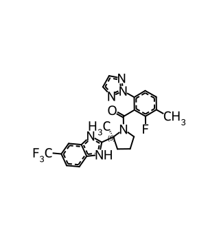 Cc1ccc(-n2nccn2)c(C(=O)N2CCC[C@@]2(C)c2nc3cc(C(F)(F)F)ccc3[nH]2)c1F